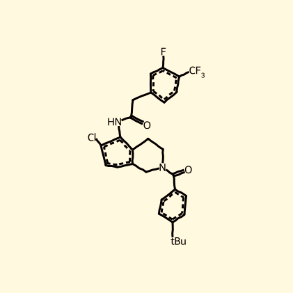 CC(C)(C)c1ccc(C(=O)N2CCc3c(ccc(Cl)c3NC(=O)Cc3ccc(C(F)(F)F)c(F)c3)C2)cc1